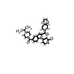 CC(C)N1CCN(C(=O)c2ccc3c(c2)cc(C(=O)N2CCC4(CC2)OCCO4)n3-c2ccnc(Cl)c2)CC1